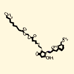 CCCCCCCCC(=O)OCOC(=O)CCCSCC[C@H]1C(=O)C[C@@H](O)[C@@H]1/C=C/[C@@H](O)Cc1cccc(COC)c1